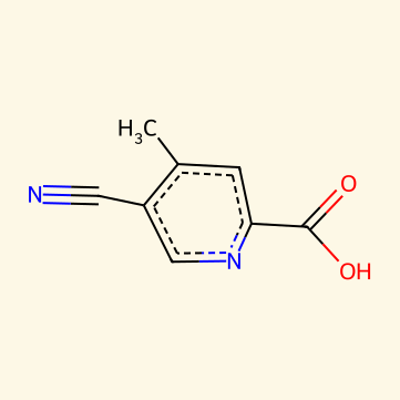 Cc1cc(C(=O)O)ncc1C#N